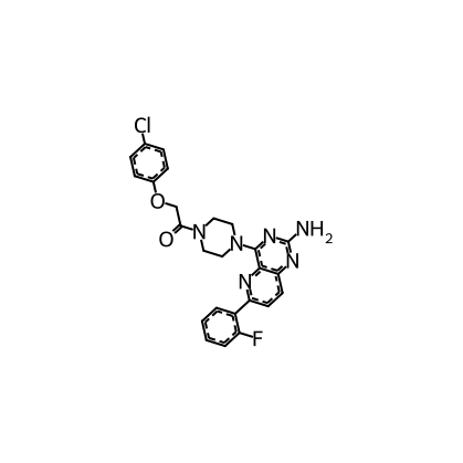 Nc1nc(N2CCN(C(=O)COc3ccc(Cl)cc3)CC2)c2nc(-c3ccccc3F)ccc2n1